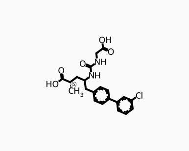 C[C@@H](CC(Cc1ccc(-c2cccc(Cl)c2)cc1)NC(=O)NCC(=O)O)C(=O)O